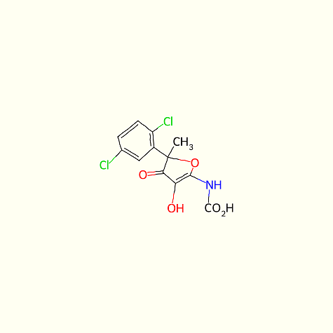 CC1(c2cc(Cl)ccc2Cl)OC(NC(=O)O)=C(O)C1=O